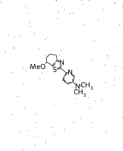 COC1CCCc2nc(-c3ccc(N(C)C)cn3)sc21